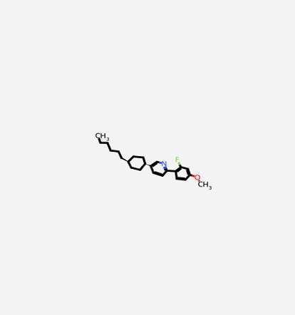 CCCCCC[C@H]1CC[C@H](c2ccc(-c3ccc(OC)cc3F)nc2)CC1